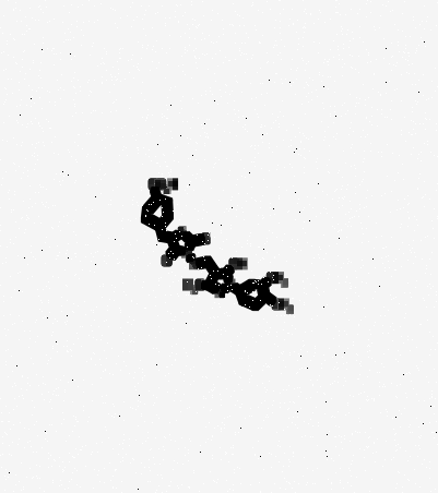 Cc1ccc(-n2nc(C)c(/C=N/N3C(=O)/C(=C/c4ccc(C(=O)O)cc4)SC3=S)c2O)cc1C